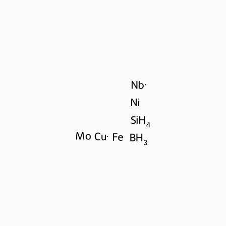 B.[Cu].[Fe].[Mo].[Nb].[Ni].[SiH4]